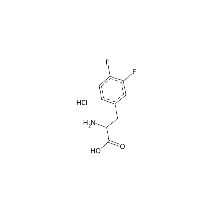 Cl.NC(Cc1ccc(F)c(F)c1)C(=O)O